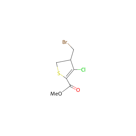 COC(=O)C1=C(Cl)C(CBr)CS1